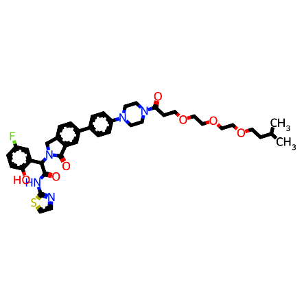 CC(C)CCOCCOCCOCCC(=O)N1CCN(c2ccc(-c3ccc4c(c3)C(=O)N(C(C(=O)Nc3nccs3)c3cc(F)ccc3O)C4)cc2)CC1